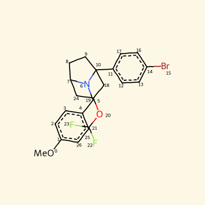 COc1ccc(CN2C3CCC2(c2ccc(Br)cc2)CC(OC(F)F)C3)cc1